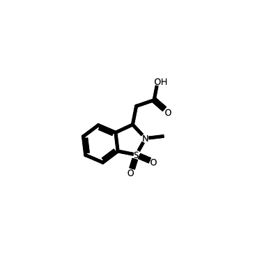 CN1C(CC(=O)O)c2ccccc2S1(=O)=O